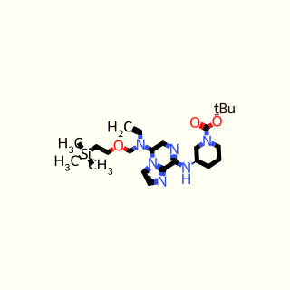 C=CN(COCC[Si](C)(C)C)C1CN=C(N[C@H]2CCCN(C(=O)OC(C)(C)C)C2)c2nccn21